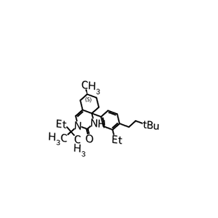 CCc1cc(C23CC[C@H](C)CC2=CN(C(C)(C)CC)C(=O)N3)ccc1CCC(C)(C)C